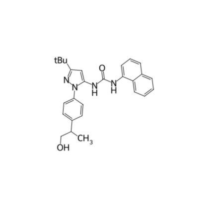 CC(CO)c1ccc(-n2nc(C(C)(C)C)cc2NC(=O)Nc2cccc3ccccc23)cc1